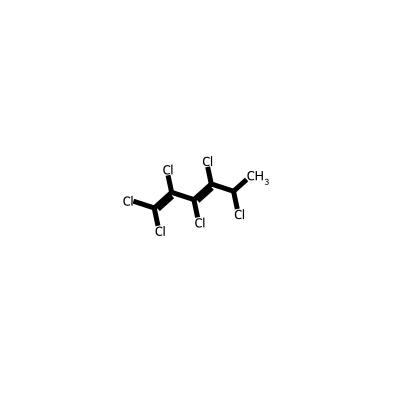 CC(Cl)C(Cl)=C(Cl)C(Cl)=C(Cl)Cl